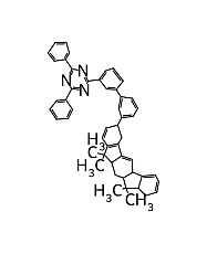 CC1(C)C2=C(CC(c3cccc(-c4cccc(-c5nc(-c6ccccc6)nc(-c6ccccc6)n5)c4)c3)C=C2)C2=CC3C4=CC=CCC4C(C)(C)C3CC21